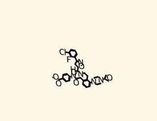 COC(=O)c1ccc(NC(=O)C2c3cccc(N4CCN(C5COC5)CC4)c3CCN2C(=O)C2CC(c3cccc(Cl)c3F)=NO2)cc1